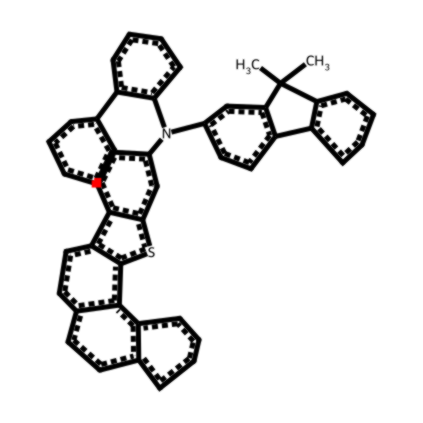 CC1(C)c2ccccc2-c2ccc(N(c3ccc4c(c3)sc3c4ccc4ccc5ccccc5c43)c3ccccc3-c3ccccc3)cc21